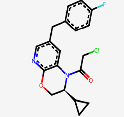 O=C(CCl)N1c2cc(Cc3ccc(F)cc3)cnc2OC[C@@H]1C1CC1